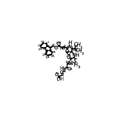 CC(NC(=O)C(NC(=O)CNC(=O)OCC1c2ccccc2-c2ccccc21)C(C)C)C(=O)NCC(=O)NCOCC(=O)O